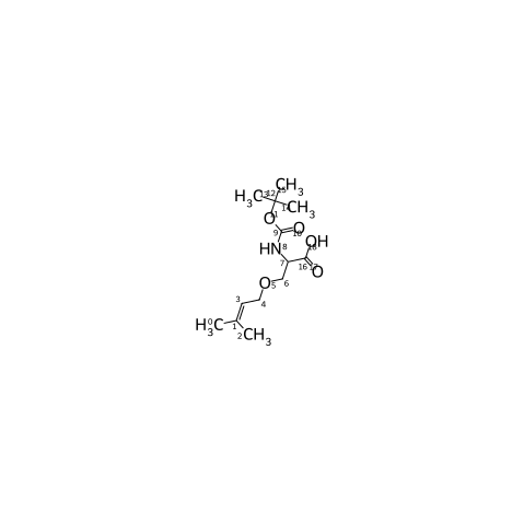 CC(C)=CCOCC(NC(=O)OC(C)(C)C)C(=O)O